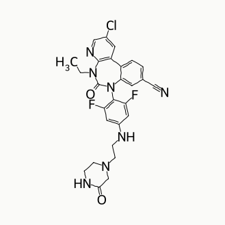 CCN1C(=O)N(c2c(F)cc(NCCN3CCNC(=O)C3)cc2F)c2cc(C#N)ccc2-c2cc(Cl)cnc21